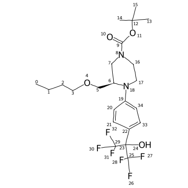 CCCCOC[C@H]1CN(C(=O)OC(C)(C)C)CCN1c1ccc(C(O)(C(F)(F)F)C(F)(F)F)cc1